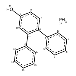 Oc1ccc(-c2ccccc2)c(-c2ccccc2)c1.P